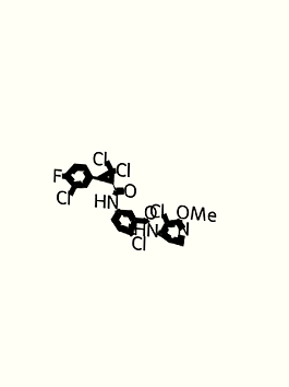 COc1nccc(NC(=O)c2cc(NC(=O)[C@@H]3[C@@H](c4ccc(F)c(Cl)c4)C3(Cl)Cl)ccc2Cl)c1Cl